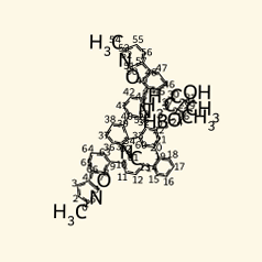 Cc1ccc2c(n1)oc1c(-c3ccc(-c4ccccc4-c4cc(BOC(C)(C)C(C)(C)O)cc(-c5ccccc5-c5ccc(-c6cccc7c6oc6nc(C)ccc67)nc5)c4)cn3)cccc12